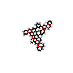 c1ccc(-c2cccc(-c3cccc(-c4cccc(-c5ccccc5)c4)c3N3c4cc(C5CCCCC5)ccc4B4c5ccc(C6CCCCC6)cc5N(c5c(-c6cccc(-c7ccccc7)c6)cccc5-c5cccc(-c6ccccc6)c5)c5cc(C6CCCCC6)cc3c54)c2)cc1